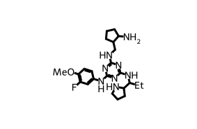 CCC(Nc1nc(NCC2CCCC2N)nc(Nc2ccc(OC)c(F)c2)n1)C1CCCN1